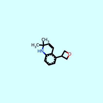 CC1(C)C=Cc2c(cccc2C2COC2)N1